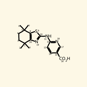 CC1(C)CCC(C)(C)c2sc(Nc3ccc(C(=O)O)cn3)nc21